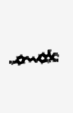 CC(C)(O)C(=O)c1ccc(OCCOc2ccc(N)cc2)cc1